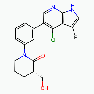 CCc1c[nH]c2ncc(-c3cccc(N4CCC[C@@H](CO)C4=O)c3)c(Cl)c12